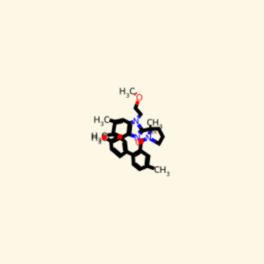 COCCn1c([C@]2(C)CCCN2C(=O)c2cc(C)ccc2-c2ccc(C)cc2)nc2cc(C)c(C)cc21